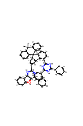 CC1(C)c2ccccc2C2(c3ccc(-c4nc(-c5ccccc5)c5oc6ccccc6c5n4)cc3-c3c(-c4nc(-c5ccccc5)nc(C5C=CC=CC5)n4)cccc32)c2ccccc21